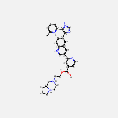 Cc1cccc(-c2[nH]cnc2-c2ccc3ncc(-c4cc(C(=O)OCCN5CCN6CCCC6C5)ccn4)cc3c2)n1